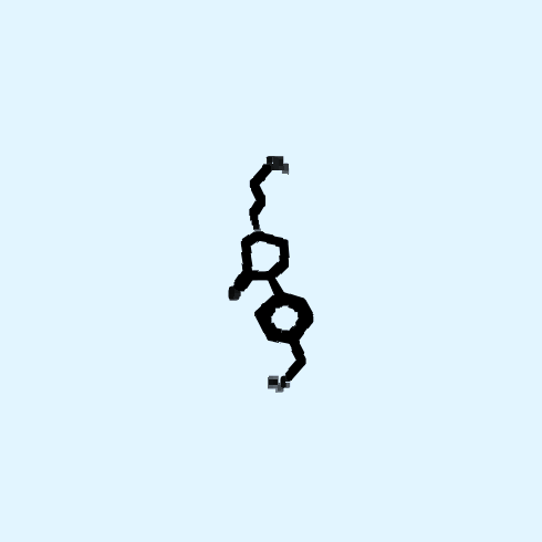 CCCC[C@@H]1CC[C@@H](c2ccc(CC)cc2)C(=O)C1